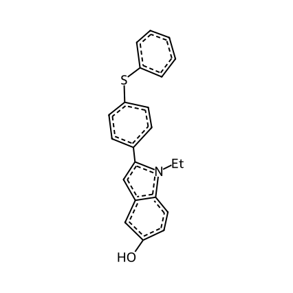 CCn1c(-c2ccc(Sc3ccccc3)cc2)cc2cc(O)ccc21